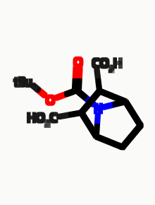 CC(C)(C)OC(=O)N1C2CCC1C(C(=O)O)C2C(=O)O